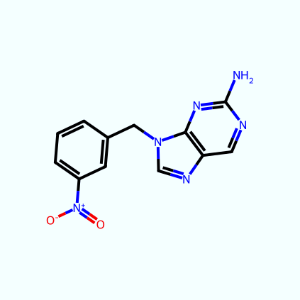 Nc1ncc2ncn(Cc3cccc([N+](=O)[O-])c3)c2n1